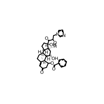 C[C@]12C[C@H](O)[C@H]3[C@@H](CCC4=CC(=O)CC(OC(=O)c5ccccc5)[C@@]43C)[C@@H]1CC[C@]2(O)C(=O)C(O)Cn1ccnc1